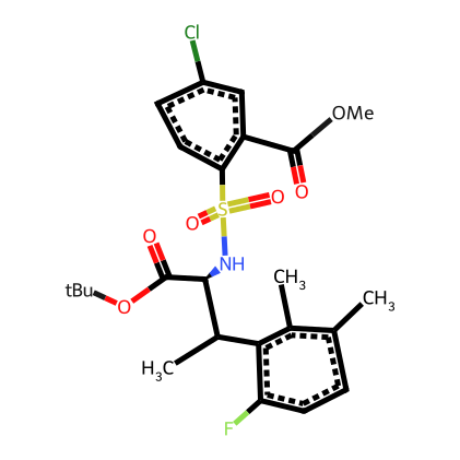 COC(=O)c1cc(Cl)ccc1S(=O)(=O)N[C@H](C(=O)OC(C)(C)C)C(C)c1c(F)ccc(C)c1C